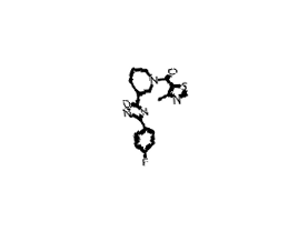 Cc1ncsc1C(=O)N1CCCC(c2nc(-c3ccc(F)cc3)no2)C1